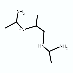 CC(N)NCC(C)NC(C)N